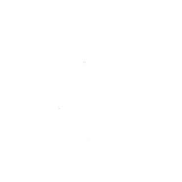 OC(=S)CC1c2ccccc2C=Cc2ccc(C=Cc3ccc4cc(F)c(Cl)cc4n3)cc21